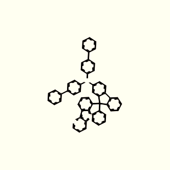 c1ccc(-c2ccc(N(c3ccc(-c4ccccc4)cc3)c3ccc4c(c3)C(c3ccccc3)(c3cccc5c3oc3cccnc35)c3ccccc3-4)cc2)cc1